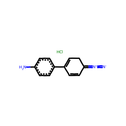 Cl.[N-]=[N+]=C1C=CC(c2ccc(N)cc2)=CC1